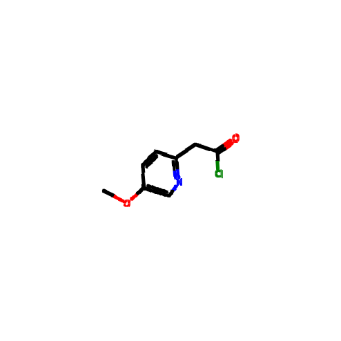 COc1ccc(CC(=O)Cl)nc1